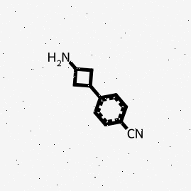 N#Cc1ccc(C2CC(N)C2)cc1